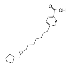 O=C(O)c1ccc(CCCCCCCOCC2CCCC2)cc1